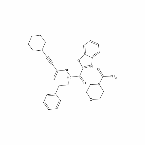 NC(=O)N1CCOCC1.O=C(C#CC1CCCCC1)N[C@@H](CCc1ccccc1)C(=O)c1nc2ccccc2o1